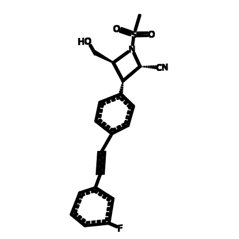 CS(=O)(=O)N1[C@H](C#N)[C@H](c2ccc(C#Cc3cccc(F)c3)cc2)[C@H]1CO